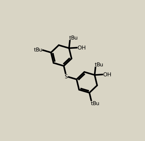 CC(C)(C)C1=CC(SC2=CC(O)(C(C)(C)C)CC(C(C)(C)C)=C2)=CC(O)(C(C)(C)C)C1